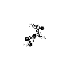 CCC(=O)N[C@H](Cc1ccc(NC(=O)[C@@H](NC(=O)c2ccnn2C)C2CCCCC2)cc1)C(=O)N1CCN(C(=O)OC(C)(C)C)[C@H](Cc2ccccc2)C1